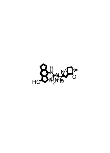 CN1CCn2nc(S(N)(=O)=NC(=O)Nc3c4c(cc5c3CCC5O)CCC4)cc2C1=O